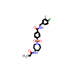 C=CC(=O)NC1CCCN(S(=O)(=O)c2ccc(C(=O)NCc3ccc(F)c(F)c3)cc2)CC1